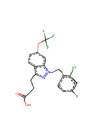 O=C(O)CCc1nn(Cc2ccc(F)cc2Cl)c2cc(OC(F)(F)F)ccc12